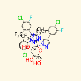 Cc1nc(C2(n3cc(-c4cc(F)c(Cl)cc4C(F)(F)F)cn3)O[C@@H](CO)[C@@H](O)C[C@@]2(O)n2cc(-c3cc(F)c(Cl)cc3C(F)(F)F)cn2)n(-c2cc(Cl)ccc2C(F)(F)F)n1